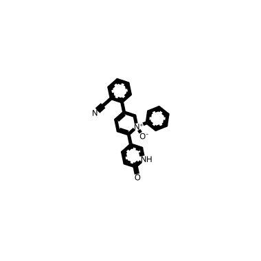 N#Cc1ccccc1C1=CC=C(c2ccc(=O)[nH]c2)[N+]([O-])(c2ccccc2)C1